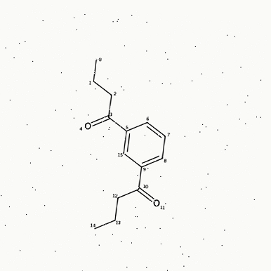 CCCC(=O)c1cccc(C(=O)CCC)c1